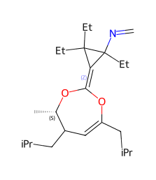 C=NC1(CC)/C(=C2\OC(CC(C)C)=CC(CC(C)C)[C@H](C)O2)C1(CC)CC